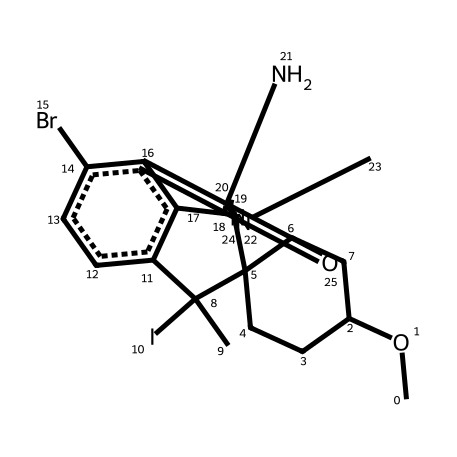 COC1CCC2(CC1)C(C)(I)c1ccc(Br)cc1C21N=C(N)N(C)C1=O